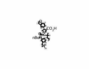 C/C=C/C(C)(C)C[C@H]1[C@H](C(=O)O)[C@@H](c2ccc3c(c2)CCO3)CN1CC(=O)N(CCCC)c1cccc(C[N+](C)(C)C)c1